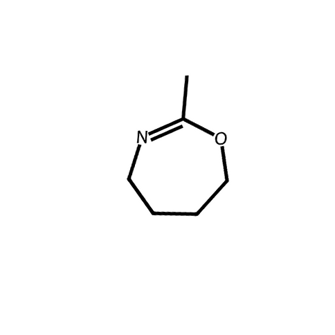 CC1=NCCCCO1